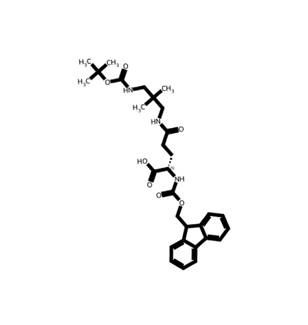 CC(C)(CNC(=O)CC[C@H](NC(=O)OCC1c2ccccc2-c2ccccc21)C(=O)O)CNC(=O)OC(C)(C)C